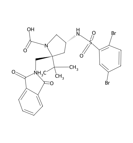 CC(C)(C)[C@@]1(CN2C(=O)c3ccccc3C2=O)C[C@@H](NS(=O)(=O)c2cc(Br)ccc2Br)CN1C(=O)O